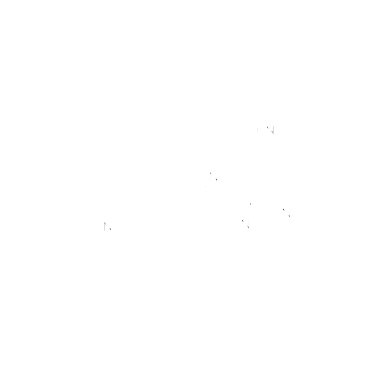 N#Cc1ccc(N)c(C(=N)/C(N)=C/c2cccc(CN3CCOCC3)c2)c1